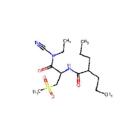 CCCC(CCC)C(=O)NC(CS(C)(=O)=O)C(=O)N(C#N)CC